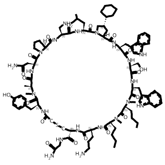 CCCC[C@H]1C(=O)N(C)[C@@H](CCCC)C(=O)N[C@@H](CCCN)C(=O)N[C@H](C(=O)NCC(N)=O)CSCC(=O)N[C@@H](Cc2ccc(O)cc2)C(=O)N(C)[C@@H](C)C(=O)N[C@@H](CC(N)=O)C(=O)N2CCC[C@H]2C(=O)N[C@@H](CN)C(=O)N[C@@H](CC(C)C)C(=O)N2C[C@H](C3CCCCC3)C[C@H]2C(=O)N[C@@H](Cc2c[nH]c3ccccc23)C(=O)N[C@@H](CO)C(=O)N[C@@H](Cc2c[nH]c3ccccc23)C(=O)N1C